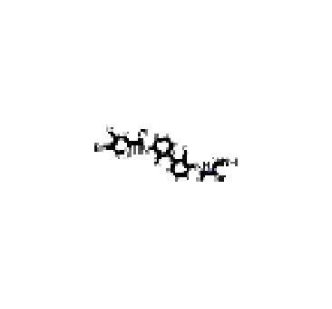 C/C(Nc1cccc(-c2cccc(NC(=O)c3cc(C)c(Br)cn3)c2C)c1C)=C(\Br)C=N